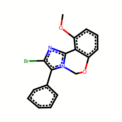 COc1cccc2c1-c1nc(Br)c(-c3ccccc3)n1CO2